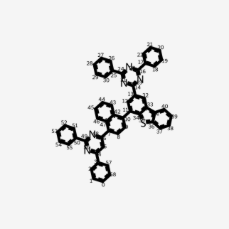 c1ccc(-c2cc(-c3ccc(-c4cc(-c5nc(-c6ccccc6)nc(-c6ccccc6)n5)cc5c4sc4ccccc45)c4ccccc34)nc(-c3ccccc3)n2)cc1